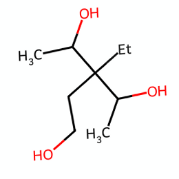 CCC(CCO)(C(C)O)C(C)O